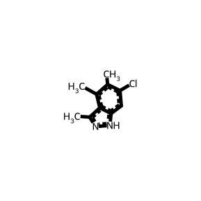 Cc1c(Cl)cc2[nH]nc(C)c2c1C